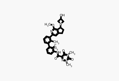 COc1nc(-c2cccc(-c3cccc(NC(=O)c4nn(C)c(=O)n(C)c4=O)c3C)c2C)cc2c1C(N1CC(O)C1)CC2